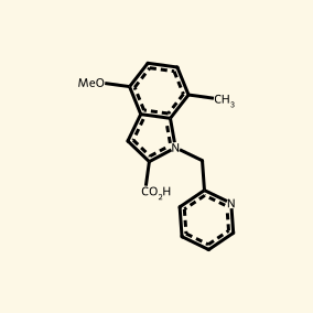 COc1ccc(C)c2c1cc(C(=O)O)n2Cc1ccccn1